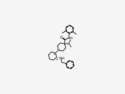 Cc1cccc(C)c1NC(=O)C1(N(C)C)CCN([C@@H]2CCCC[C@H]2NCc2ccccc2)CC1